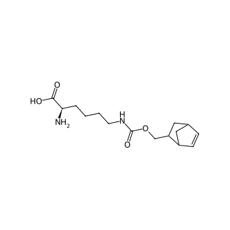 N[C@H](CCCCNC(=O)OCC1CC2C=CC1C2)C(=O)O